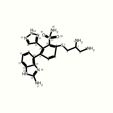 NCC(N)CSc1ccc(-c2cccc3[nH]c(N)nc23)c(-c2cn[nH]n2)c1S(N)(=O)=O